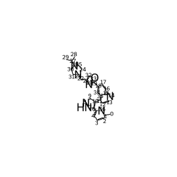 Cc1cccc(-c2[nH]ncc2-c2ccnc3ccc(-c4nc(CN5CCN(C(C)C)CC5)co4)cc23)n1